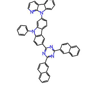 c1ccc(-n2c3ccc(-c4nc(-c5ccc6ccccc6c5)nc(-c5ccc6ccccc6c5)n4)cc3c3ccc(-n4c5ccccc5c5cccnc54)cc32)cc1